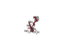 CN1CCN(CC(=O)O)CCN(CC(=O)O)CCN(CC(=O)NC(CCCCNC(=O)CCCc2ccc(O)cc2)N/N=C/CCCCCC(=O)N2CCN(CCCCOc3ccc4nccc(C(=O)NCC(=O)N5CC(F)(F)C[C@@H]5C#N)c4c3)CC2)CC1